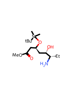 CC[C@H](N)[C@@H](O)C[C@@H](CC(=O)OC)O[Si](C)(C)C(C)(C)C